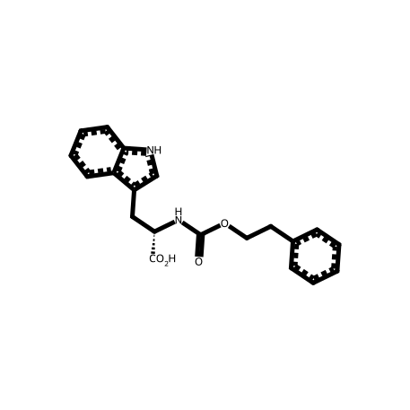 O=C(N[C@@H](Cc1c[nH]c2ccccc12)C(=O)O)OCCc1ccccc1